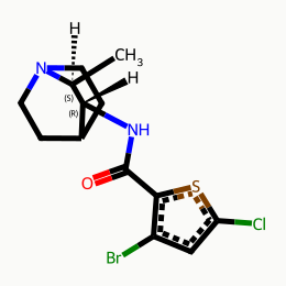 C[C@H]1[C@H](NC(=O)c2sc(Cl)cc2Br)C2CCN1CC2